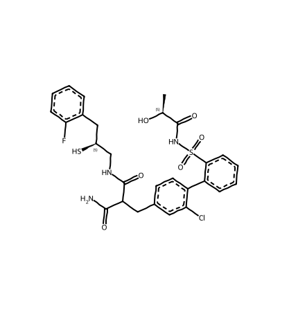 C[C@H](O)C(=O)NS(=O)(=O)c1ccccc1-c1ccc(CC(C(N)=O)C(=O)NC[C@@H](S)Cc2ccccc2F)cc1Cl